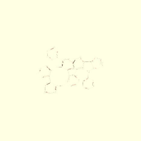 c1ccc(-c2cccc3c2Sc2ccccc2-c2ccccc2Sc2cccc(-c4cccc5c6ccccc6n(-c6ccccc6)c45)c2-3)cc1